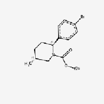 C[C@@H]1CC[C@@H](c2ccc(Br)cc2)N(C(=O)OC(C)(C)C)C1